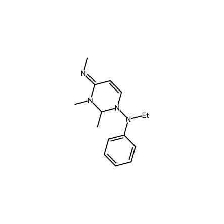 CCN(c1ccccc1)N1C=CC(=NC)N(C)C1C